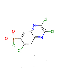 O=S(=O)(Cl)c1cc2nc(Cl)c(Cl)nc2cc1Cl